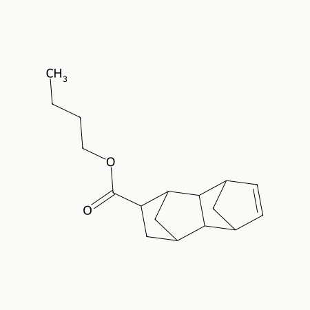 CCCCOC(=O)C1CC2CC1C1C3C=CC(C3)C21